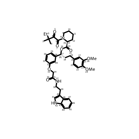 CCC(C)(C)C(=O)C(=O)N1CCCC[C@H]1C(=O)O[C@H](CCc1ccc(OC)c(OC)c1)c1cccc(OCC(=O)NCCc2c[nH]c3ccccc23)c1